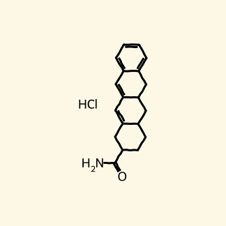 Cl.NC(=O)C1CCC2CC3Cc4ccccc4C=C3C=C2C1